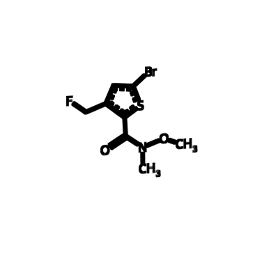 CON(C)C(=O)c1sc(Br)cc1CF